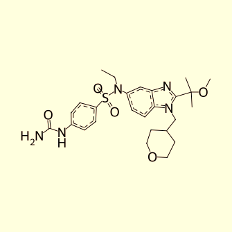 CCN(c1ccc2c(c1)nc(C(C)(C)OC)n2CC1CCOCC1)S(=O)(=O)c1ccc(NC(N)=O)cc1